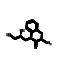 NC1Cc2ccccc2N(C[C@@H](O)CO)C1=O